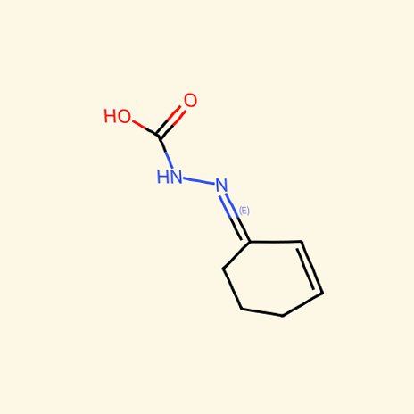 O=C(O)N/N=C1/C=CCCC1